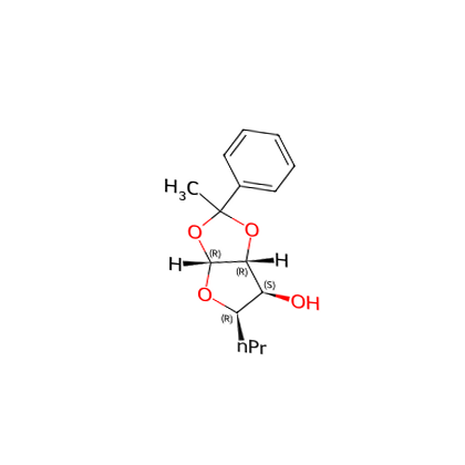 CCC[C@H]1O[C@@H]2OC(C)(c3ccccc3)O[C@@H]2[C@H]1O